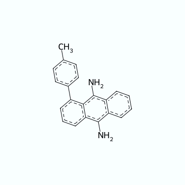 Cc1ccc(-c2cccc3c(N)c4ccccc4c(N)c23)cc1